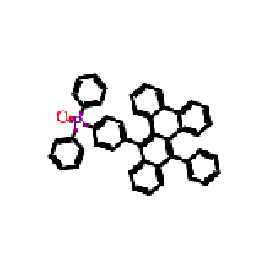 O=P(c1ccccc1)(c1ccccc1)c1ccc(-c2c3ccccc3c(-c3ccccc3)c3c4ccccc4c4ccccc4c23)cc1